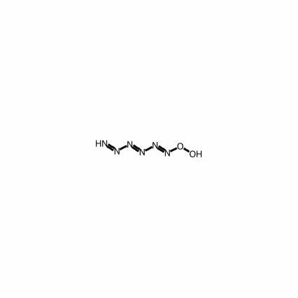 N=N/N=N/N=N/OO